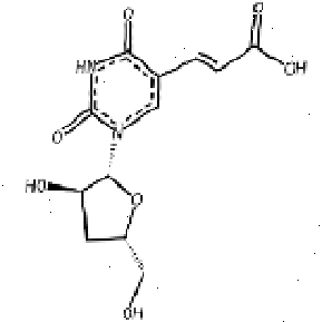 O=C(O)/C=C/c1cn([C@@H]2O[C@H](CO)C[C@H]2O)c(=O)[nH]c1=O